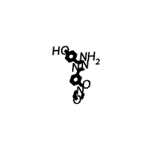 Nc1ncc(-c2cccc(C(=O)N3CCOCC3)c2)nc1-c1ccc(O)cc1